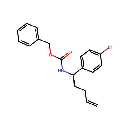 C=CCC[C@@H](NC(=O)OCc1ccccc1)c1ccc(Br)cc1